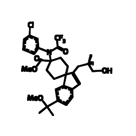 COC(=O)C1(N(C(=O)C(F)(F)F)c2cccc(Cl)c2)CCC2(CC1)C(C[C@@H](C)CO)=Cc1ccc(C(C)(C)OC)cc12